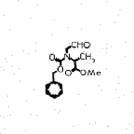 COC(=O)C(C)N(CC=O)C(=O)OCc1ccccc1